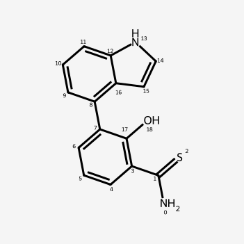 NC(=S)c1cccc(-c2cccc3[nH]ccc23)c1O